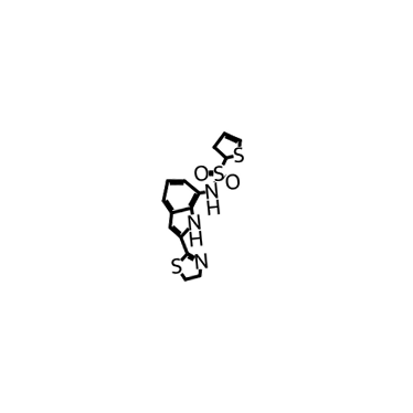 O=S(=O)(Nc1cccc2cc(C3=NCCS3)[nH]c12)C1CC=CS1